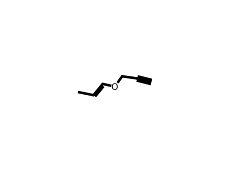 C#CCOC=CC